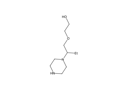 CCC(COCCO)N1CCNCC1